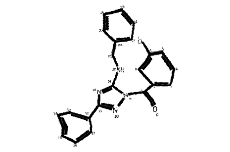 O=C(c1cccc(Cl)c1)n1nc(-c2ccccc2)nc1NCc1ccccc1